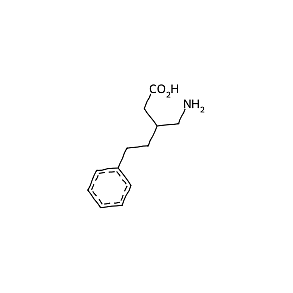 NCC(CCc1ccccc1)CC(=O)O